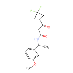 CC(NC(=O)CC(=O)C1CC(F)(F)C1)c1cccc(OC(F)(F)F)c1